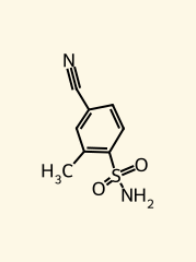 Cc1cc(C#N)ccc1S(N)(=O)=O